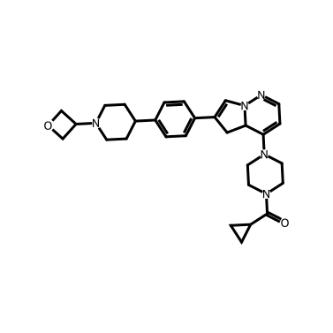 O=C(C1CC1)N1CCN(C2=CC=NN3C=C(c4ccc(C5CCN(C6COC6)CC5)cc4)CC23)CC1